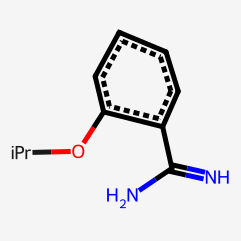 CC(C)Oc1ccccc1C(=N)N